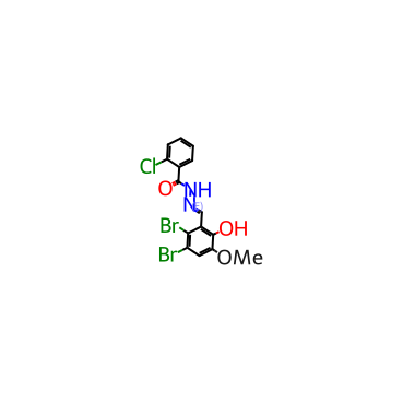 COc1cc(Br)c(Br)c(/C=N/NC(=O)c2ccccc2Cl)c1O